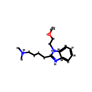 CCOCCn1c(CCCCN(C)C)nc2ccccc21